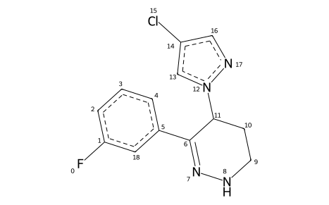 Fc1cccc(C2=NNCCC2n2cc(Cl)cn2)c1